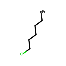 CCCCCCC[CH]Cl